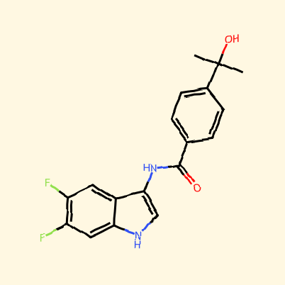 CC(C)(O)c1ccc(C(=O)Nc2c[nH]c3cc(F)c(F)cc23)cc1